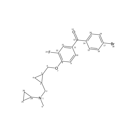 CN(CC1CC1COc1ccc(C(=O)c2ccc(Br)cc2)cc1F)C1CC1